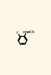 N#CNc1ccccc1F